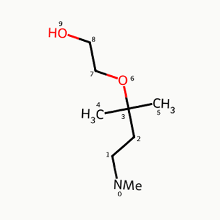 CNCCC(C)(C)OCCO